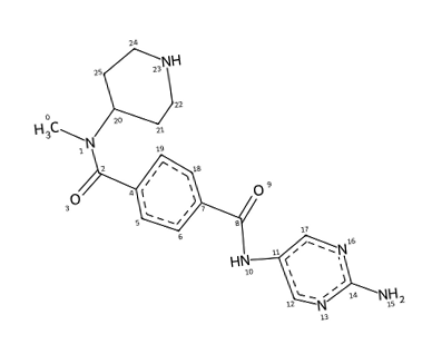 CN(C(=O)c1ccc(C(=O)Nc2cnc(N)nc2)cc1)C1CCNCC1